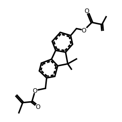 C=C(C)C(=O)OCc1ccc2c(c1)C(C)(C)c1cc(COC(=O)C(=C)C)ccc1-2